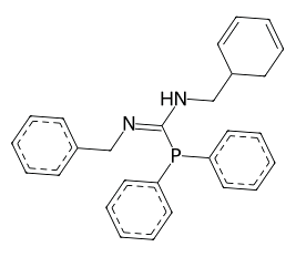 C1=CCC(CN/C(=N/Cc2ccccc2)P(c2ccccc2)c2ccccc2)C=C1